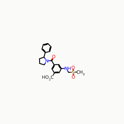 CS(=O)(=O)CNc1cc(C(=O)O)cc(C(=O)N2CCCC2c2ccccc2)c1